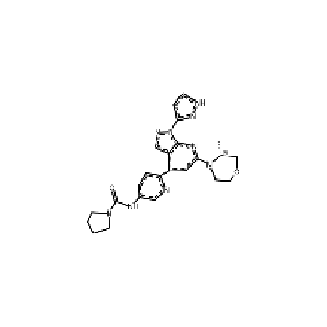 C[C@@H]1COCCN1c1cc(-c2ccc(NC(=O)N3CCCC3)cn2)c2cnn(-c3cc[nH]n3)c2n1